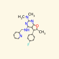 Cc1oc2nc(N(C)C)nc(NCc3ccccn3)c2c1-c1ccc(F)cc1